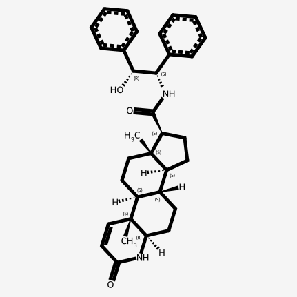 C[C@]12C=CC(=O)N[C@@H]1CC[C@@H]1[C@@H]2CC[C@]2(C)[C@@H](C(=O)N[C@@H](c3ccccc3)[C@H](O)c3ccccc3)CC[C@@H]12